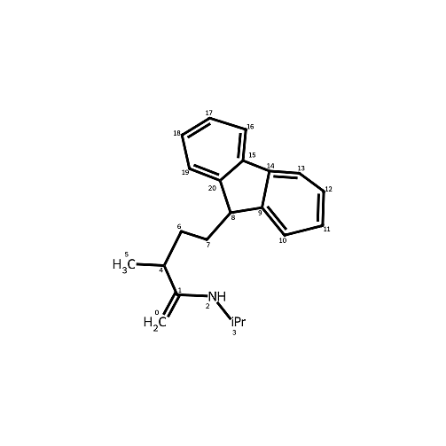 C=C(NC(C)C)C(C)CCC1c2ccccc2-c2ccccc21